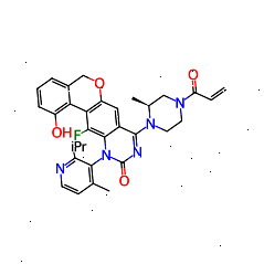 C=CC(=O)N1CCN(c2nc(=O)n(-c3c(C)ccnc3C(C)C)c3c(F)c4c(cc23)OCc2cccc(O)c2-4)[C@@H](C)C1